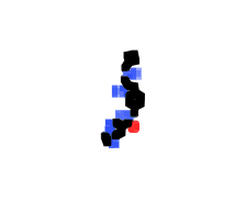 O=C(NCc1ccc2cc(CNCC3CCC3)[nH]c2c1)c1cnn2ccnc2c1